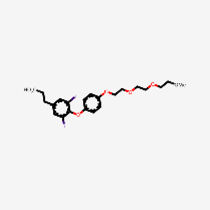 COCCOCCOCCOc1ccc(Oc2c(I)cc(CCC(=O)O)cc2I)cc1